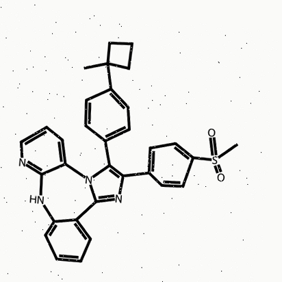 CC1(c2ccc(-c3c(-c4ccc(S(C)(=O)=O)cc4)nc4n3-c3cccnc3Nc3ccccc3-4)cc2)CCC1